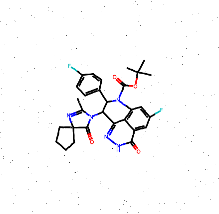 CC1=NC2(CCCC2)C(=O)N1C1c2n[nH]c(=O)c3cc(F)cc(c23)N(C(=O)OC(C)(C)C)C1c1ccc(F)cc1